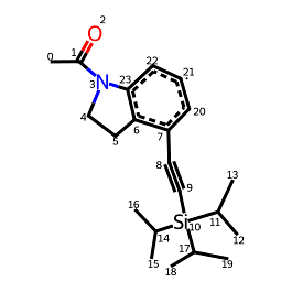 CC(=O)N1CCc2c(C#C[Si](C(C)C)(C(C)C)C(C)C)c[c]cc21